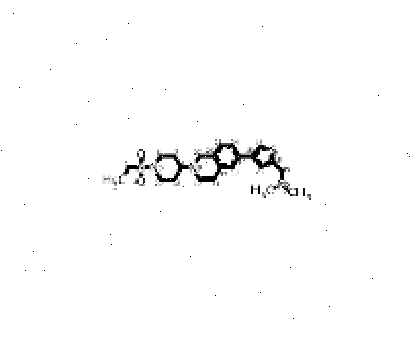 CCS(=O)(=O)N1CCC(N2C=Cc3cc(-c4csc(CN(C)C)c4)ccc3C2)CC1